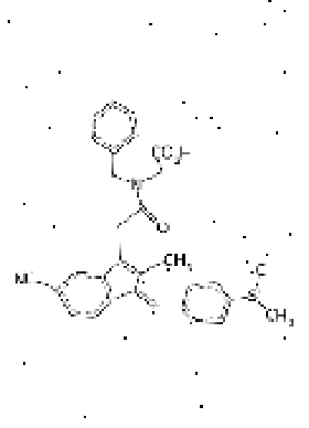 CC1=C(CC(=O)N(CC(=O)O)Cc2ccccc2)c2cc(C#N)ccc2/C1=C/c1ccc([S+](C)[O-])cc1